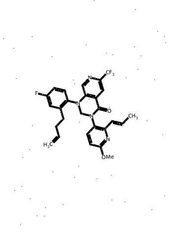 C=CCCc1cc(F)ccc1N1CN(c2ccc(OC)nc2C=CC)C(=O)c2cc(C(F)(F)F)ncc21